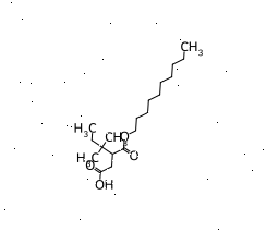 CCCCCCCCCCOC(=O)C(CC(=O)O)C(C)(C)CC